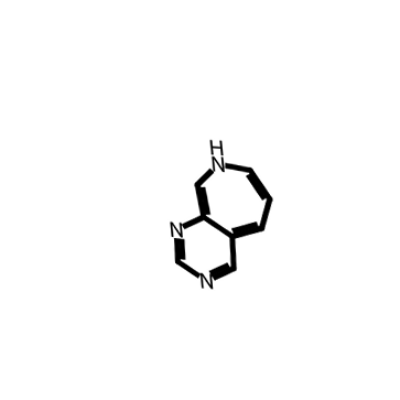 C1=CNC=c2ncncc2=C1